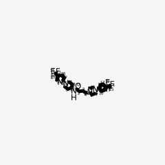 O=C(CCCN1CCN(c2ccc(C(F)(F)F)cc2)CC1)NC1CCN(c2ccc(C(F)(F)F)cn2)CC1